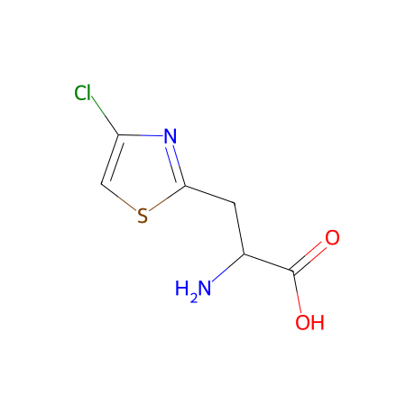 NC(Cc1nc(Cl)cs1)C(=O)O